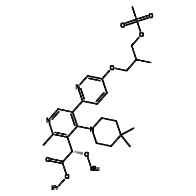 Cc1ncc(-c2ccc(OCC(C)COS(C)(=O)=O)cn2)c(N2CCC(C)(C)CC2)c1[C@H](OC(C)(C)C)C(=O)OC(C)C